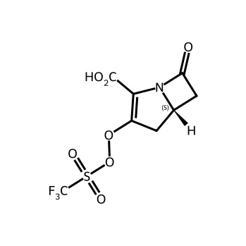 O=C(O)C1=C(OOS(=O)(=O)C(F)(F)F)C[C@H]2CC(=O)N12